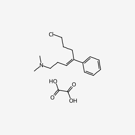 CN(C)CCC=C(CCCCl)c1ccccc1.O=C(O)C(=O)O